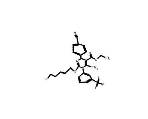 CCOC(=O)C1=C(C)N(c2cccc(C(F)(F)F)c2)C(SCCCCCBr)=NC1c1ccc(C#N)cc1